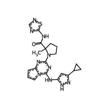 CC1(C(=O)Nc2ncns2)CCCN1c1nc(Nc2cc(C3CC3)n[nH]2)n2cccc2n1